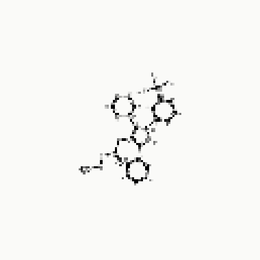 CCOC(=O)Cc1c(-c2ccccc2)nn(-c2cccc(C(F)(F)F)c2)c1-c1ccccc1